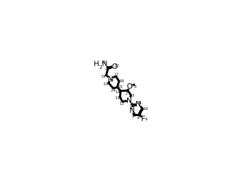 COC1CN(c2ncc(F)cn2)CCC1C1CCN(CC(N)=O)CC1